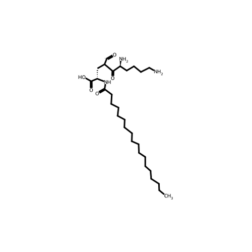 CCCCCCCCCCCCCCCCCC(=O)N[C@@H](CC([C]=O)C(=O)[C@@H](N)CCCCN)C(=O)O